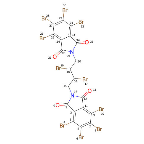 O=C1c2c(Br)c(Br)c(Br)c(Br)c2C(=O)N1CC(Br)C(Br)CN1C(=O)c2c(Br)c(Br)c(Br)c(Br)c2C1=O